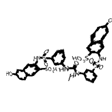 O=C(Nc1cccc(S(=O)(=O)Nc2cc3cc(O)ccc3cc2S(=O)(=O)O)c1)Nc1cccc(S(=O)(=O)Nc2cc3cc(O)ccc3cc2S(=O)(=O)O)c1